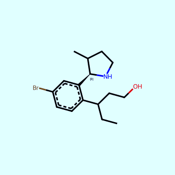 CCC(CCO)c1ccc(Br)cc1[C@@H]1NCCC1C